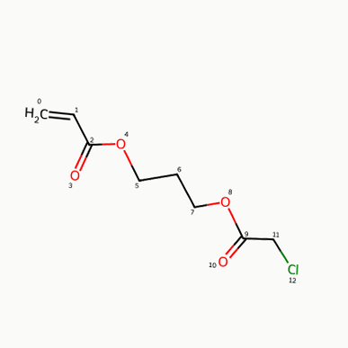 C=CC(=O)OCCCOC(=O)CCl